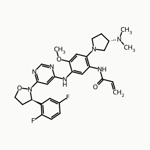 C=CC(=O)Nc1cc(Nc2cc(N3OCC[C@@H]3c3cc(F)ccc3F)ncn2)c(OC)cc1N1CC[C@H](N(C)C)C1